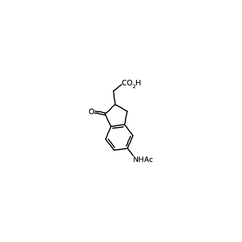 CC(=O)Nc1ccc2c(c1)CC(CC(=O)O)C2=O